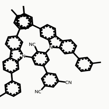 Cc1cccc(-c2ccc3c4ccc(-c5cccc(C)c5)cc4n(-c4cc(-c5cc(C#N)cc(C#N)c5)cc(-n5c6cc(-c7cccc(C)c7)ccc6c6ccc(-c7cccc(C)c7)cc65)c4C#N)c3c2)c1